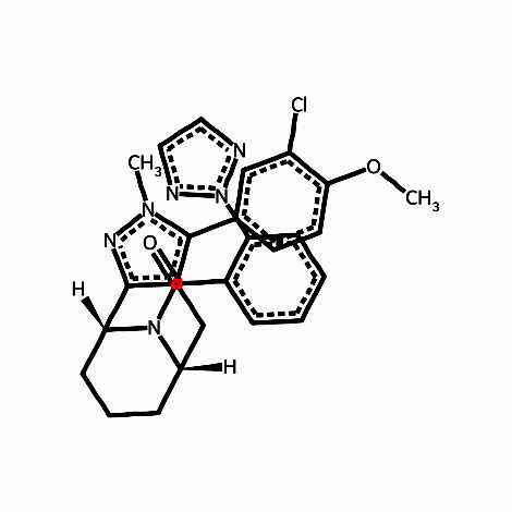 COc1ccc(-c2c3c(nn2C)[C@H]2CCC[C@@H](C3)N2C(=O)c2ccccc2-n2nccn2)cc1Cl